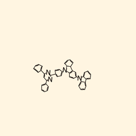 C1=CC2c3cc(-n4c5ccccc5c5ccccc54)ccc3N(c3ccc(-c4nc(-c5ccccc5)cc(-c5ccccc5)n4)cc3)C2C=C1